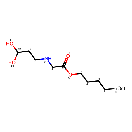 CCCCCCCCCCCCOC(=O)CNCCC(O)O